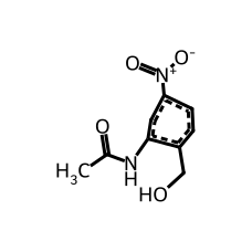 CC(=O)Nc1cc([N+](=O)[O-])ccc1CO